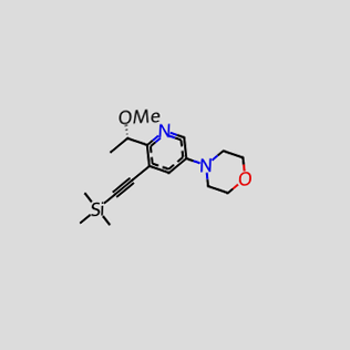 CO[C@@H](C)c1ncc(N2CCOCC2)cc1C#C[Si](C)(C)C